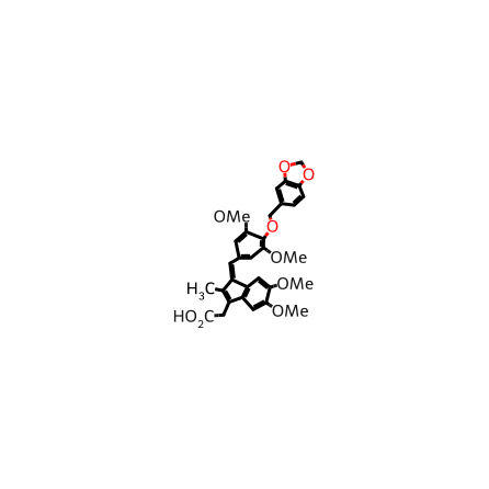 COc1cc2c(cc1OC)/C(=C\c1cc(OC)c(OCc3ccc4c(c3)OCO4)c(OC)c1)C(C)=C2CC(=O)O